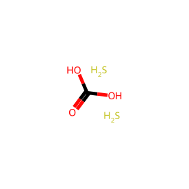 O=C(O)O.S.S